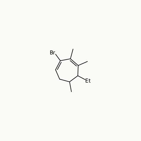 CCC1C(C)=C(C)C(Br)=CCC1C